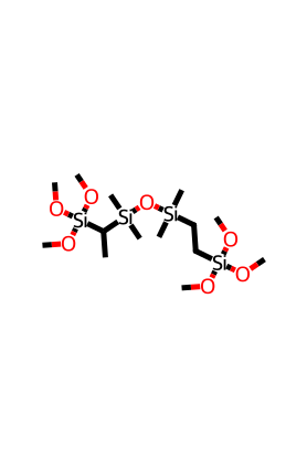 CO[Si](CC[Si](C)(C)O[Si](C)(C)C(C)[Si](OC)(OC)OC)(OC)OC